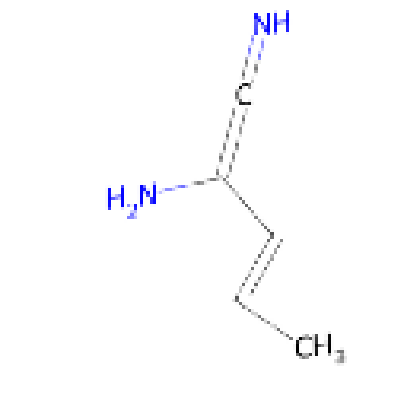 CC=CC(N)=C=N